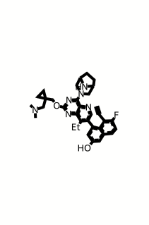 C#Cc1c(F)ccc2cc(O)cc(-c3cnc4c(N5CC6CCC(C5)N6)nc(OCC5(CN(C)C)CC5)nc4c3CC)c12